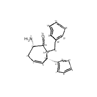 N[C@H]1CC=C[C@@H](c2ccccc2)N(Cc2ccccc2)C1=O